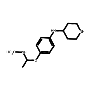 CC(NC(=O)O)Oc1ccc(NC2CCNCC2)cc1